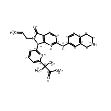 C=CCn1c(=O)c2cnc(Nc3ccc4c(c3)CNCC4)nc2n1-c1cccc(C(C)(C)C(=O)OC)n1